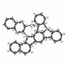 N#Cc1nc2ccccc2nc1-n1c2c3ccccc3ccc2c2cc3c4ccccc4n4c5ccccc5c(c21)c34